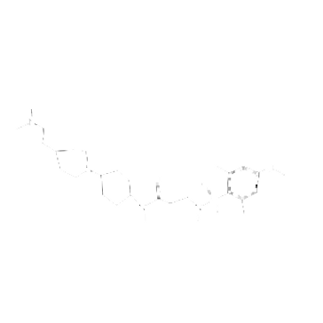 COc1cc(C)c(S(=O)(=O)N(C)CCC(=O)NC2CCC(N3CCC(CCN(C)C)CC3)CC2)c(C)c1